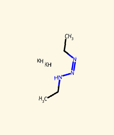 CC/N=N\NCC.[KH].[KH]